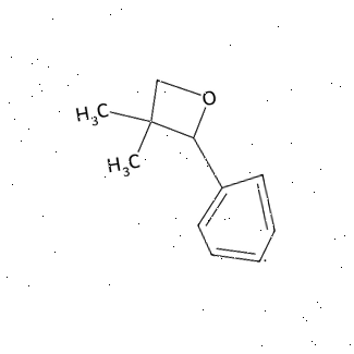 CC1(C)COC1c1cc[c]cc1